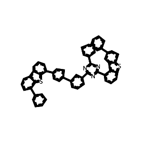 c1ccc(-c2ccc3sc4cccc(-c5nc(-c6ccccc6)nc(-c6cccc(-c7ccc(-c8cccc9c8sc8c(-c%10ccccc%10)cccc89)cc7)c6)n5)c4c3c2)cc1